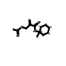 C=C(COC(C)=O)C(=O)OC1(C)CCCCC1